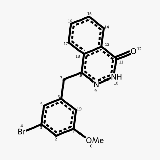 COc1cc(Br)cc(Cc2n[nH]c(=O)c3ccccc23)c1